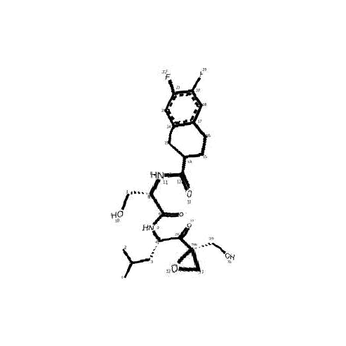 CC(C)C[C@H](NC(=O)[C@H](CO)NC(=O)C1CCc2cc(F)c(F)cc2C1)C(=O)[C@@]1(CO)CO1